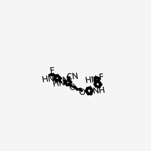 N#Cc1cc(OCCCOc2ccc(Nc3ccc4c(F)c[nH]c4c3)cc2)cc(Nc2ccc3c(F)c[nH]c3c2)n1